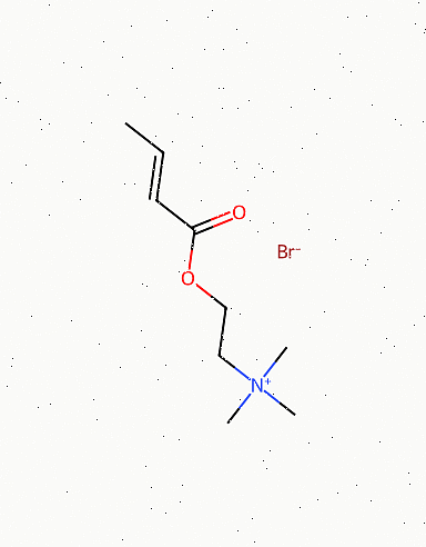 CC=CC(=O)OCC[N+](C)(C)C.[Br-]